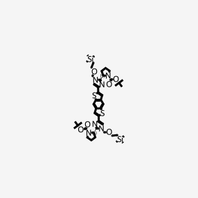 CC(C)(C)OC(=O)N1CCC[C@H]1c1nc(-c2cc3cc4sc(-c5cn(COCC[Si](C)(C)C)c([C@@H]6CCCN6C(=O)OC(C)(C)C)n5)cc4cc3s2)cn1COCC[Si](C)(C)C